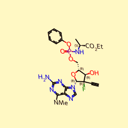 C#C[C@@]1(F)[C@H](O)[C@@H](COP(=O)(N[C@@H](C)C(=O)OCC)Oc2ccccc2)O[C@H]1n1cnc2c(NC)nc(N)nc21